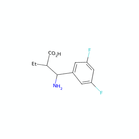 CCC(C(=O)O)C(N)c1cc(F)cc(F)c1